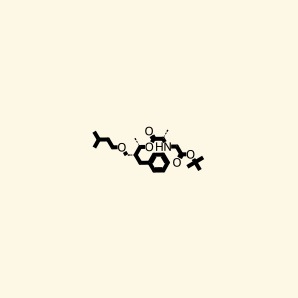 CC(C)CCOC[C@@H](Cc1ccccc1)[C@H](C)OC(=O)[C@H](C)NCC(=O)OC(C)(C)C